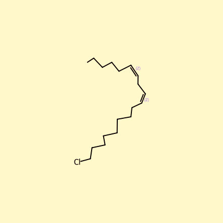 CCCCC/C=C\C/C=C\CCCCCCCCCl